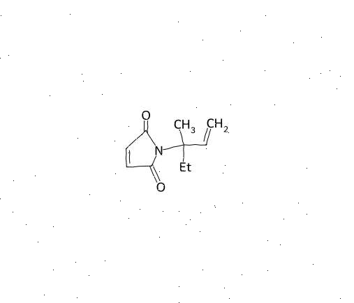 C=CC(C)(CC)N1C(=O)C=CC1=O